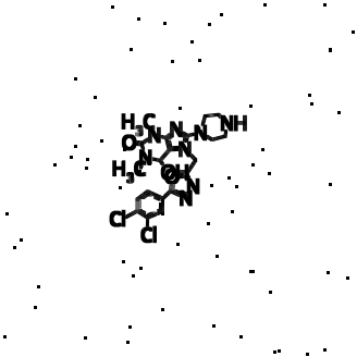 CN1C(=O)N(C)C(O)c2c1nc(N1CCNCC1)n2Cc1nnc(-c2ccc(Cl)c(Cl)c2)o1